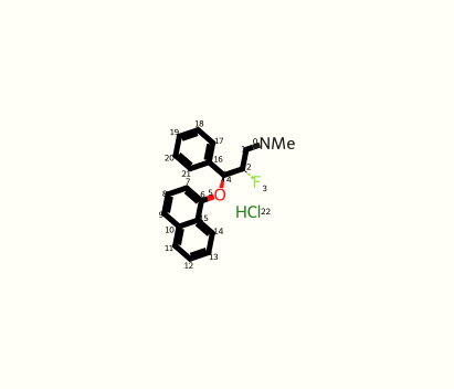 CNC[C@H](F)[C@@H](Oc1cccc2ccccc12)c1ccccc1.Cl